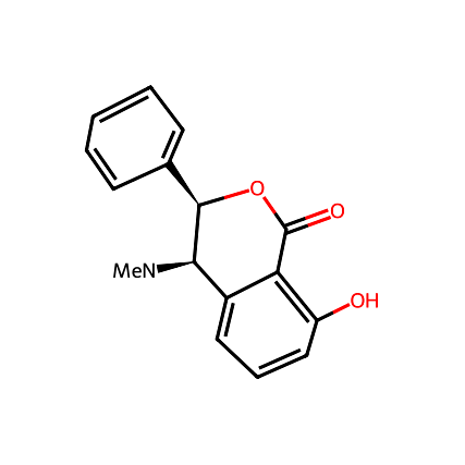 CN[C@@H]1c2cccc(O)c2C(=O)O[C@@H]1c1ccccc1